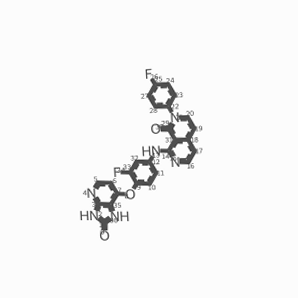 O=c1[nH]c2nccc(Oc3ccc(Nc4nccc5ccn(-c6ccc(F)cc6)c(=O)c45)cc3F)c2[nH]1